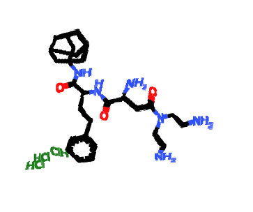 Cl.Cl.Cl.NCCN(CCN)C(=O)C[C@H](N)C(=O)N[C@@H](CCc1ccccc1)C(=O)NC12CC3CC(CC(C3)C1)C2